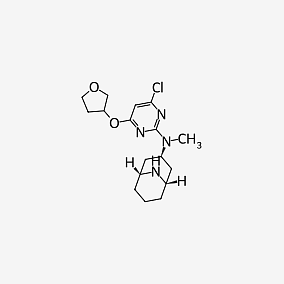 CN(c1nc(Cl)cc(OC2CCOC2)n1)[C@@H]1C[C@H]2CCC[C@@H](C1)N2